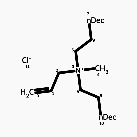 C=CC[N+](C)(CCCCCCCCCCCC)CCCCCCCCCCCC.[Cl-]